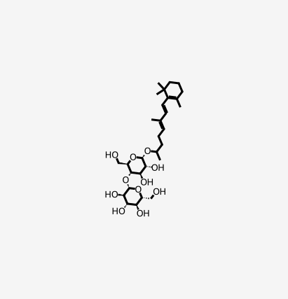 CC1=C(/C=C/C(C)=C/CCC(C)O[C@H]2O[C@H](CO)[C@@H](O[C@@H]3O[C@H](CO)[C@@H](O)[C@H](O)[C@H]3O)[C@H](O)[C@H]2O)C(C)(C)CCC1